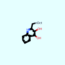 CCCCCCCCCc1nc2ccccc2c(O)c1O